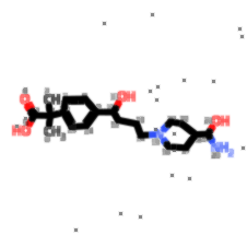 CC(C)(C(=O)O)c1ccc(C(O)CCCN2CCC(C(N)O)CC2)cc1